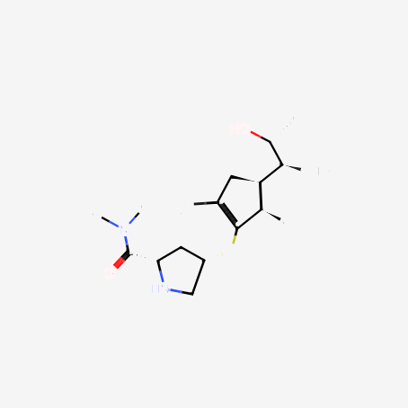 C[C@@H](O)[C@@H](C=O)[C@@H]1CC(C(=O)O)=C(S[C@@H]2CN[C@H](C(=O)N(C)C)C2)[C@@H]1C